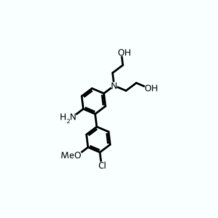 COc1cc(-c2cc(N(CCO)CCO)ccc2N)ccc1Cl